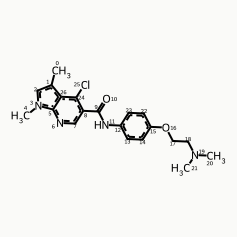 Cc1cn(C)c2ncc(C(=O)Nc3ccc(OCCN(C)C)cc3)c(Cl)c12